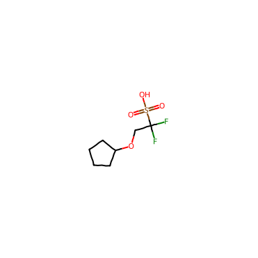 O=S(=O)(O)C(F)(F)COC1CCCC1